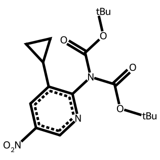 CC(C)(C)OC(=O)N(C(=O)OC(C)(C)C)c1ncc([N+](=O)[O-])cc1C1CC1